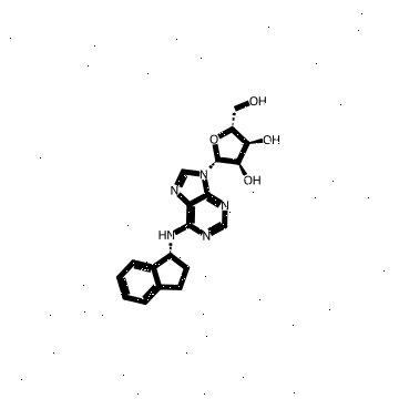 OC[C@H]1O[C@@H](n2cnc3c(N[C@@H]4CCc5ccccc54)ncnc32)[C@H](O)[C@@H]1O